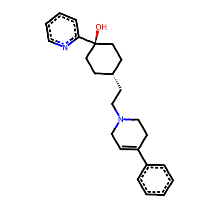 O[C@]1(c2ccccn2)CC[C@@H](CCN2CC=C(c3ccccc3)CC2)CC1